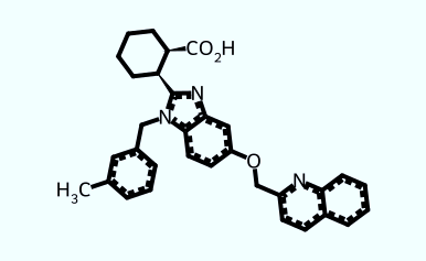 Cc1cccc(Cn2c([C@H]3CCCC[C@H]3C(=O)O)nc3cc(OCc4ccc5ccccc5n4)ccc32)c1